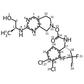 C[C@@H](CO)Nc1ncc2c(n1)CN(OC(=O)N[C@H](CC(F)(F)F)c1ccc(Cl)c(Cl)c1)CC2